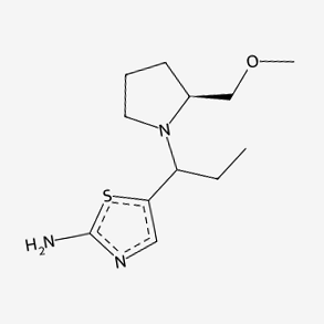 CCC(c1cnc(N)s1)N1CCC[C@H]1COC